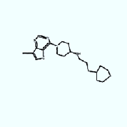 Cc1csc2c(N3CCC(NCCCC4CCCCC4)CC3)ncnc12